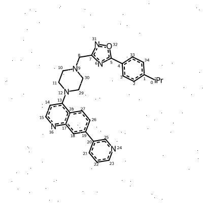 CC(C)c1ccc(-c2nc(CN3CCN(c4ccnc5cc(-c6cccnc6)ccc45)CC3)no2)cc1